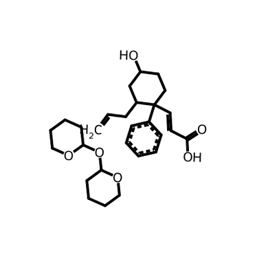 C1CCC(OC2CCCCO2)OC1.C=CCC1CC(O)CCC1(C=CC(=O)O)c1ccccc1